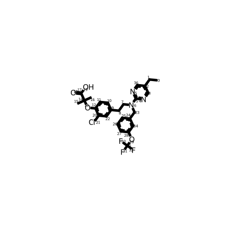 CCc1cnc(N(CCc2ccc(OC(C)(C)C(=O)O)c(Cl)c2)Cc2cccc(OC(F)(F)F)c2)nc1